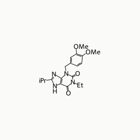 CCn1c(=O)c2[nH]c(C(C)C)nc2n(Cc2ccc(OC)c(OC)c2)c1=O